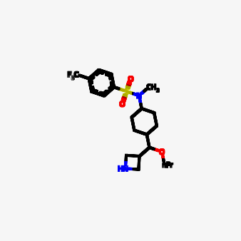 CCCOC(C1CCC(N(C)S(=O)(=O)c2ccc(C(F)(F)F)cc2)CC1)C1CNC1